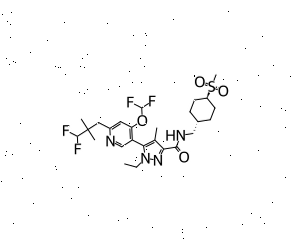 CCn1nc(C(=O)NC[C@H]2CC[C@H](S(C)(=O)=O)CC2)c(C)c1-c1cnc(CC(C)(C)C(F)F)cc1OC(F)F